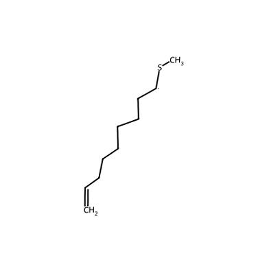 C=CCCCCCC[CH]SC